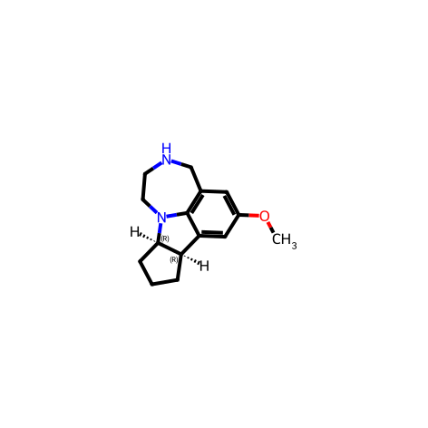 COc1cc2c3c(c1)[C@H]1CCC[C@H]1N3CCNC2